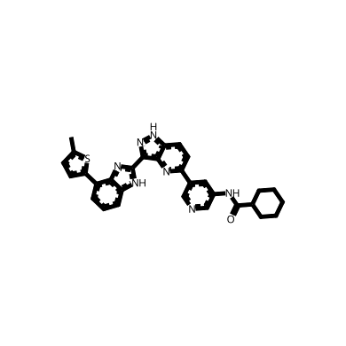 Cc1ccc(-c2cccc3[nH]c(-c4n[nH]c5ccc(-c6cncc(NC(=O)C7CCCCC7)c6)nc45)nc23)s1